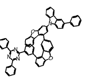 c1ccc(-c2ccc3c(c2)c2ccccc2n3-c2cc(-c3ccc4oc5cccc(-c6cccc(-c7nc(-c8ccccc8)nc(-c8ccccc8)n7)c6)c5c4c3)c3c(c2)oc2ccccc23)cc1